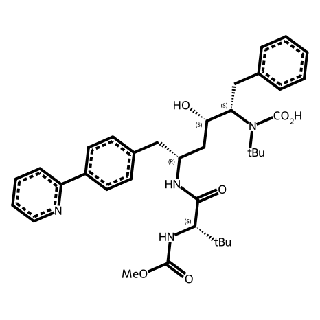 COC(=O)N[C@H](C(=O)N[C@H](Cc1ccc(-c2ccccn2)cc1)C[C@H](O)[C@H](Cc1ccccc1)N(C(=O)O)C(C)(C)C)C(C)(C)C